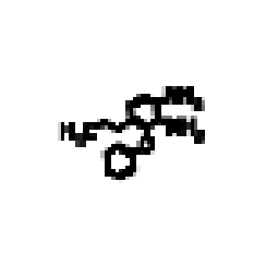 CCCc1ccc(N)c(N)c1Oc1ccccc1